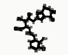 CC(C)N(C(=O)Cn1cc2c(=O)[nH]cnc2n1)C(C=O)CNCc1cccc(Cl)c1F